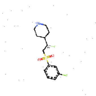 O=S(=O)(C[C@@H](F)C1CCNCC1)c1cccc(F)c1